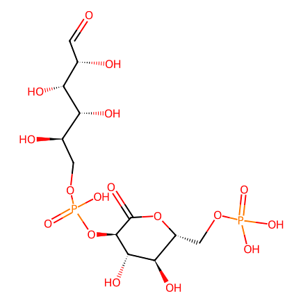 O=C[C@H](O)[C@@H](O)[C@H](O)[C@H](O)COP(=O)(O)O[C@H]1C(=O)O[C@H](COP(=O)(O)O)[C@@H](O)[C@@H]1O